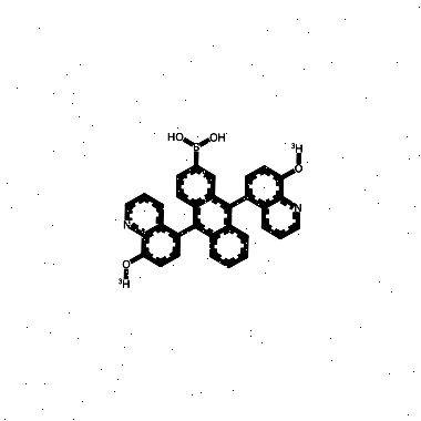 [3H]Oc1ccc(-c2c3ccccc3c(-c3ccc(O[3H])c4ncccc34)c3cc(B(O)O)ccc23)c2cccnc12